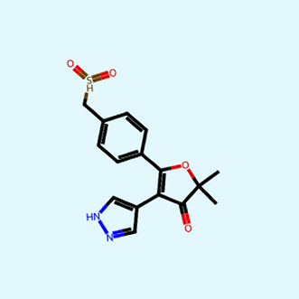 CC1(C)OC(c2ccc(C[SH](=O)=O)cc2)=C(c2cn[nH]c2)C1=O